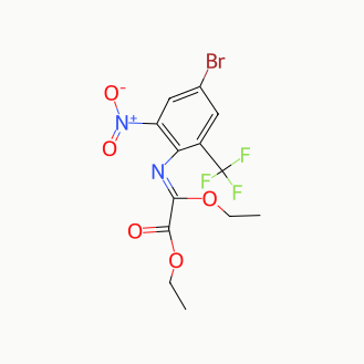 CCOC(=O)C(=Nc1c([N+](=O)[O-])cc(Br)cc1C(F)(F)F)OCC